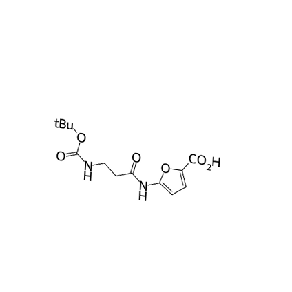 CC(C)(C)OC(=O)NCCC(=O)Nc1ccc(C(=O)O)o1